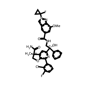 COc1cc(C(=O)NC[C@@](O)(c2ccccc2)c2cc3c(c(-c4cccc(F)c4Cl)n2)OC[C@]3(C)C(N)=O)cc2cn(C3(F)CC3)nc12